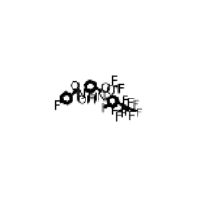 O=C(Nc1c(I)cc(C(F)(C(F)(F)F)C(F)(F)C(F)(F)F)cc1OC(F)F)c1cccc(N(O)C(=O)c2ccc(F)cc2)c1F